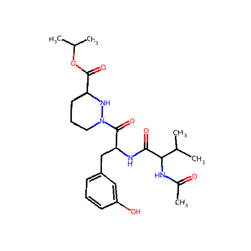 CC(=O)NC(C(=O)NC(Cc1cccc(O)c1)C(=O)N1CCCC(C(=O)OC(C)C)N1)C(C)C